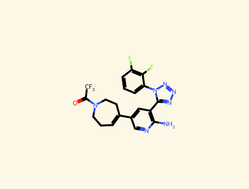 Nc1ncc(C2=CCCN(C(=O)C(F)(F)F)CC2)cc1-c1nnnn1-c1cccc(F)c1F